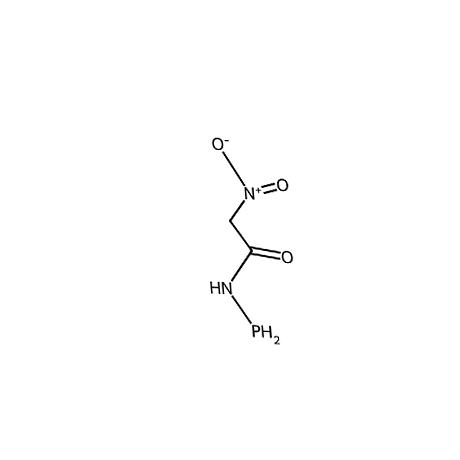 O=C(C[N+](=O)[O-])NP